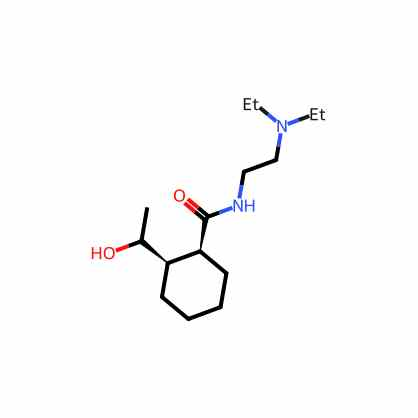 CCN(CC)CCNC(=O)[C@H]1CCCC[C@H]1C(C)O